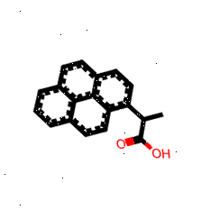 CC(C(=O)O)c1ccc2ccc3cccc4ccc1c2c34